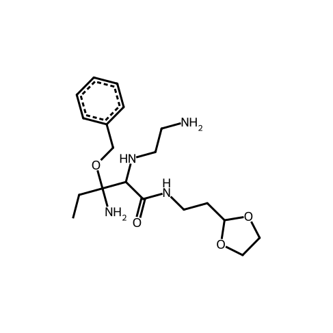 CCC(N)(OCc1ccccc1)C(NCCN)C(=O)NCCC1OCCO1